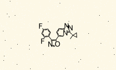 CC1(c2nnc3ccc(-c4ocnc4-c4ccc(F)cc4F)cn23)CC1